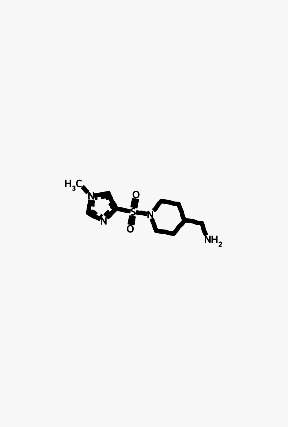 Cn1cnc(S(=O)(=O)N2CCC(CN)CC2)c1